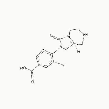 O=C(O)c1ccc(N2C[C@@H]3CNCCN3C2=O)c(F)c1